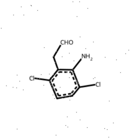 Nc1c(Cl)ccc(Cl)c1CC=O